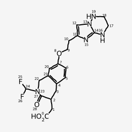 O=C(O)CC1Cc2ccc(OCCc3cn4c(n3)NCCN4)cc2CN(C(F)F)C1=O